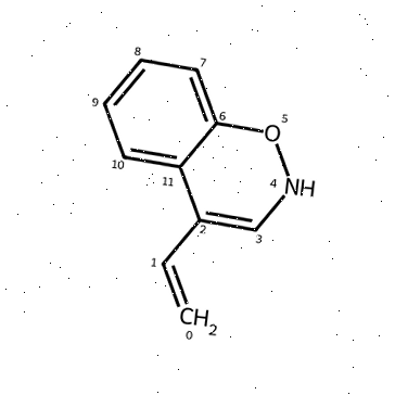 C=CC1=CNOc2ccccc21